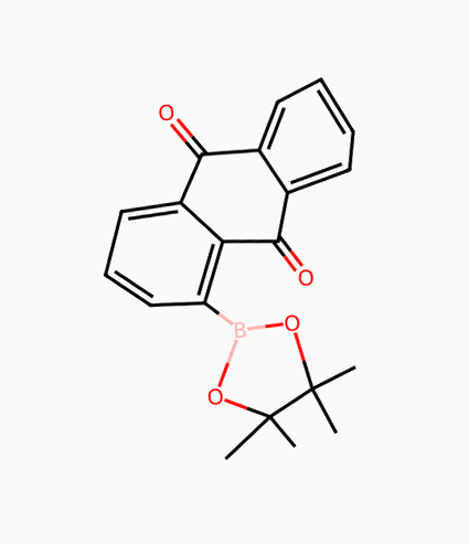 CC1(C)OB(c2cccc3c2C(=O)c2ccccc2C3=O)OC1(C)C